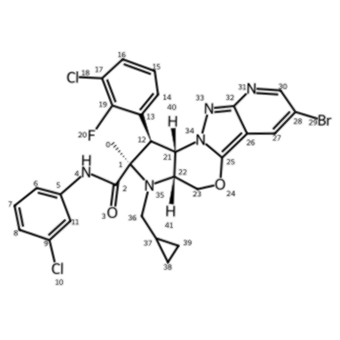 C[C@]1(C(=O)Nc2cccc(Cl)c2)[C@@H](c2cccc(Cl)c2F)[C@H]2[C@H](COc3c4cc(Br)cnc4nn32)N1CC1CC1